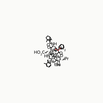 CCCCC(NC(=O)[C@H](CC(C)C)NC(=O)[C@@H](NC(=O)[C@H](Cc1ccccc1C)NC(=O)[C@H](CCC(=O)O)NC(=O)[C@H](COCc1ccccc1)NC(=O)C1CC2CCC1(C)C2(C)C)C(C)(C)C)C(=O)C(N)=O